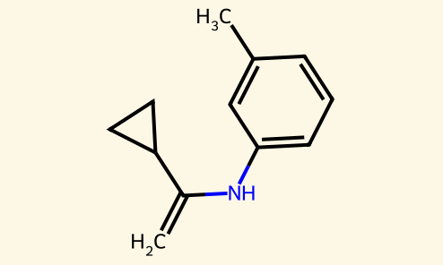 C=C(Nc1cccc(C)c1)C1CC1